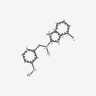 CCOc1ccnc(C[S+]([O-])c2nc3c(F)cccc3[nH]2)c1